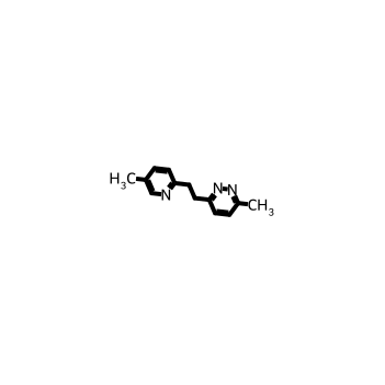 Cc1ccc(CCc2ccc(C)nn2)nc1